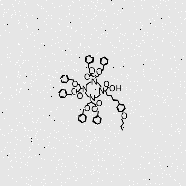 CCCCOc1ccc(/C=C/CCC(C(=O)O)N2CCN(C(COCc3ccccc3)C(=O)OCc3ccccc3)CCN(C(COCc3ccccc3)C(=O)OCc3ccccc3)CCN(C(COCc3ccccc3)C(=O)OCc3ccccc3)CC2)cc1